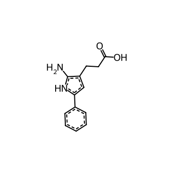 Nc1[nH]c(-c2ccccc2)cc1CCC(=O)O